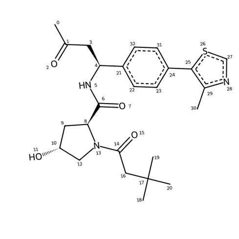 CC(=O)C[C@H](NC(=O)[C@@H]1C[C@@H](O)CN1C(=O)CC(C)(C)C)c1ccc(-c2scnc2C)cc1